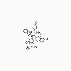 CC(=O)N(C(=O)[C@@H](N)Cc1ccc(Cl)cc1)[C@@H](Cc1ccc(Cl)cc1)C(=O)N[C@H](Cc1c[nH]c2ccccc12)C(=O)N[C@H]([C]=O)CO